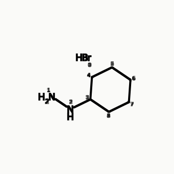 Br.NNC1CCCCC1